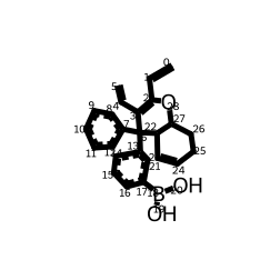 C=CC1=C(C=C)C(c2ccccc2)(c2cccc(B(O)O)c2)C2C=CCCC2O1